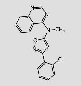 CN(c1cc(-c2ccccc2Cl)no1)c1ncnc2ccccc12